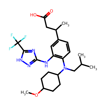 COC1CCC(N(CC(C)C)c2ccc(C(C)CC(=O)O)cc2Nc2n[nH]c(C(F)(F)F)n2)CC1